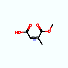 COC(=O)/C(C)=C\C(=O)O